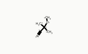 COC(C)(C)C#N